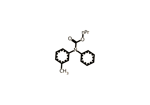 [CH2]CCOC(=O)N(c1ccccc1)c1cccc(C)c1